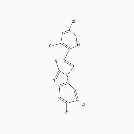 Clc1cnc(-c2cn3c(nc4cc(Cl)c(Cl)cc43)s2)c(Cl)c1